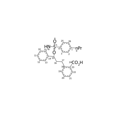 CCCc1ccc(S(=O)(=O)Nc2ccccc2CCCc2ccccc2C(=O)O)cc1